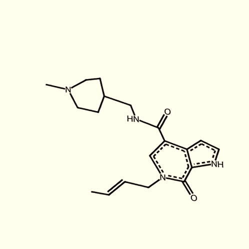 C/C=C/Cn1cc(C(=O)NCC2CCN(C)CC2)c2cc[nH]c2c1=O